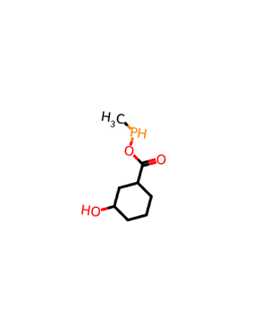 CPOC(=O)C1CCCC(O)C1